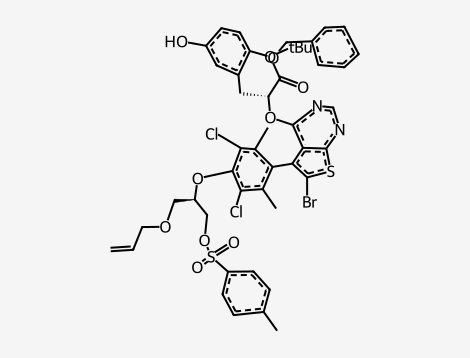 C=CCOC[C@H](COS(=O)(=O)c1ccc(C)cc1)Oc1c(Cl)c(C)c(-c2c(Br)sc3ncnc(O[C@H](Cc4cc(O)ccc4OCc4ccccc4)C(=O)OC(C)(C)C)c23)c(C)c1Cl